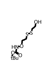 CC(C)(C)OC(=O)NOCCSSCCO